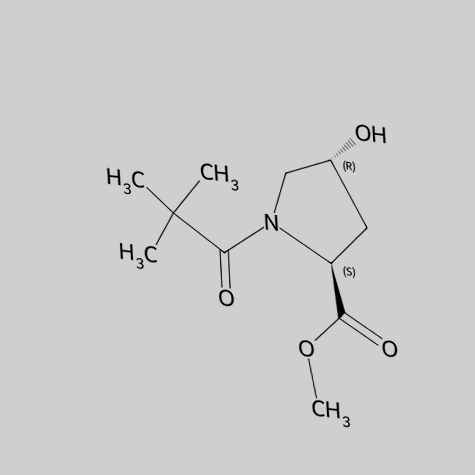 COC(=O)[C@@H]1C[C@@H](O)CN1C(=O)C(C)(C)C